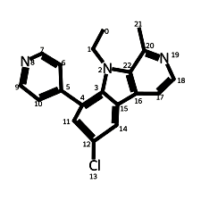 CCn1c2c(-c3ccncc3)cc(Cl)cc2c2ccnc(C)c21